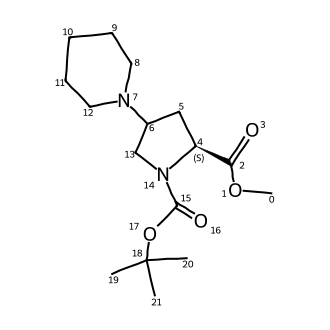 COC(=O)[C@@H]1CC(N2CCCCC2)CN1C(=O)OC(C)(C)C